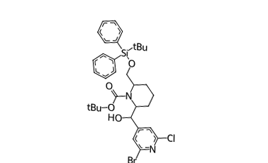 CC(C)(C)OC(=O)N1C(CO[Si](c2ccccc2)(c2ccccc2)C(C)(C)C)CCCC1C(O)c1cc(Cl)nc(Br)c1